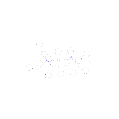 C=C/C=C(\C)N(C(=C)/C=C\C)c1cc2c3c(c1)N(c1ccccc1)c1cc4c(cc1B3c1ccccc1N2c1ccccc1)B1c2ccccc2N(c2ccccc2)c2cc(-n3c5ccc(-c6c(C)cccc6C)cc5c5cc(-c6c(C)cccc6C)ccc53)cc(c21)N4c1c(-c2ccccc2)cccc1-c1ccccc1